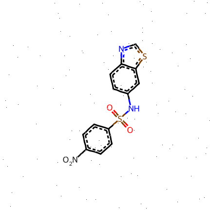 O=[N+]([O-])c1ccc(S(=O)(=O)Nc2ccc3ncsc3c2)cc1